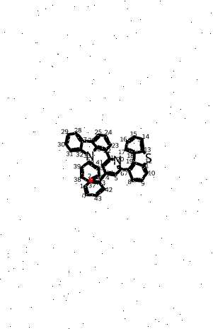 c1ccc(-c2cc(-c3cccc4sc5ccccc5c34)nc(-c3cccc4c5ccccc5n(-c5ccccc5)c34)c2)cc1